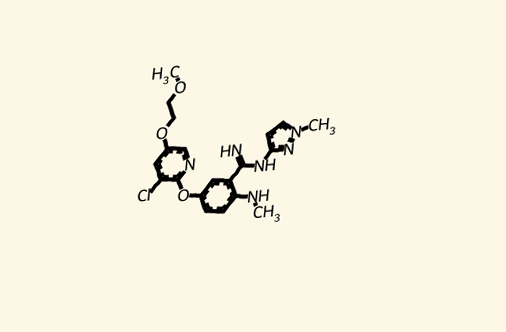 CNc1ccc(Oc2ncc(OCCOC)cc2Cl)cc1C(=N)Nc1ccn(C)n1